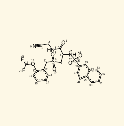 N#CCNC(=O)C(CS(=O)(=O)Cc1ccccc1OC(F)F)NS(=O)(=O)c1ccc2ccccc2c1